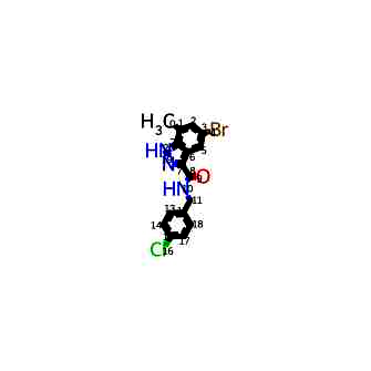 Cc1cc(Br)cc2c(C(=O)NCc3ccc(Cl)cc3)n[nH]c12